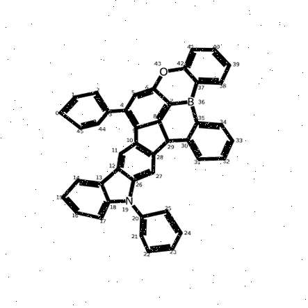 c1ccc(-c2cc3c4c5c2-c2cc6c7ccccc7n(-c7ccccc7)c6cc2C5c2ccccc2B4c2ccccc2O3)cc1